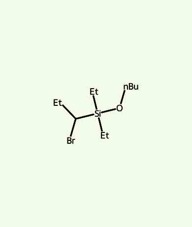 CCCCO[Si](CC)(CC)C(Br)CC